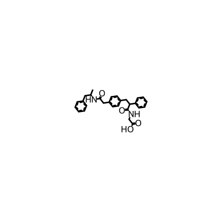 CC(Cc1ccccc1)NC(=O)Cc1ccc(CC(C(=O)NCC(=O)O)c2ccccc2)cc1